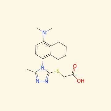 Cc1nnc(SCC(=O)O)n1-c1ccc(N(C)C)c2c1CCCC2